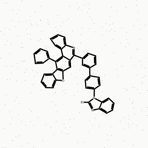 CCc1nc2ccccc2n1-c1ccc(-c2cccc(-c3nc4ccccc4c4c(-c5ccccc5)c5c(cc34)oc3ccccc35)c2)cc1